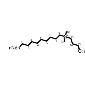 CCCCCCCCCCCCCCCCCC[N+](C)(C)CCCO